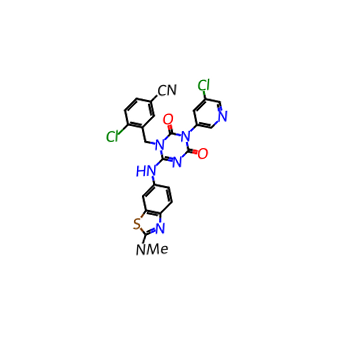 CNc1nc2ccc(Nc3nc(=O)n(-c4cncc(Cl)c4)c(=O)n3Cc3cc(C#N)ccc3Cl)cc2s1